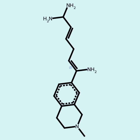 CN1CCc2ccc(/C(N)=C/CC=CC(N)N)cc2C1